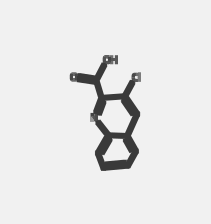 O=C(O)c1nc2ccccc2cc1Cl